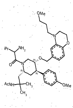 COCCCN1CCOc2ccc(CO[C@H]3CN(C(=O)C(N)C(C)C)[C@@H](CC(C)(C)NC(C)=O)C[C@@H]3c3ccc(OC)cc3)cc21